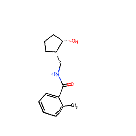 Cc1ccccc1C(=O)NC[C@@H]1CCC[C@@H]1O